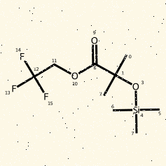 CC(C)(O[Si](C)(C)C)C(=O)OCC(F)(F)F